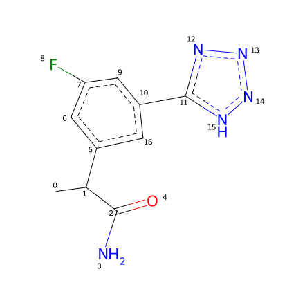 CC(C(N)=O)c1cc(F)cc(-c2nnn[nH]2)c1